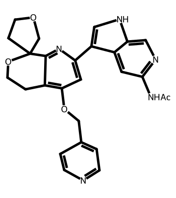 CC(=O)Nc1cc2c(-c3cc(OCc4ccncc4)c4c(n3)C3(CCOC3)OCC4)c[nH]c2cn1